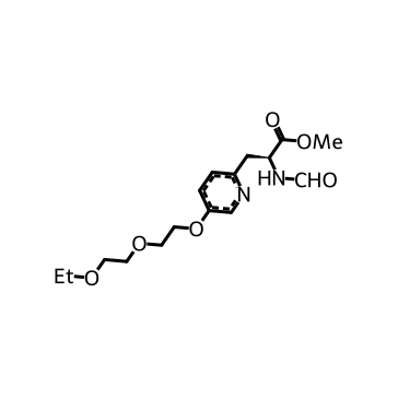 CCOCCOCCOc1ccc(C[C@H](NC=O)C(=O)OC)nc1